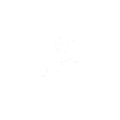 Cc1nc(N)c2c(C(N)=O)cn([C@@H]3O[C@H](COP(=O)(N[C@@H](C)C(=O)OC(C)C)Oc4ccccc4)[C@H]4OC(=O)O[C@H]43)c2n1